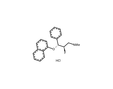 CNC[C@@H](F)[C@H](Oc1cccc2ccccc12)c1ccccc1.Cl